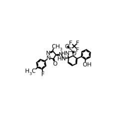 CC1=NN(c2ccc(C)c(F)c2)C(=O)C1=NNC1(NS(=O)(=O)C(F)(F)F)C=CC=C(c2ccccc2O)C1